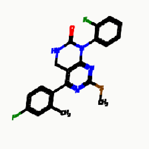 CSc1nc(-c2ccc(F)cc2C)c2c(n1)N(c1ccccc1F)C(=O)NC2